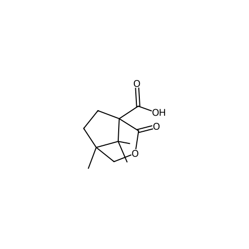 CC12CCC(C(=O)O)(C(=O)OC1)C2(C)C